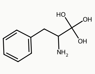 NC(Cc1ccccc1)C(O)(O)O